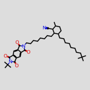 CC1CCC(CCCCCCCCC(C)(C)C)C(CCCCCCCCn2c(=O)c3cc4c(=O)n(C(C)(C)C)c(=O)c4cc3c2=O)C1C#N